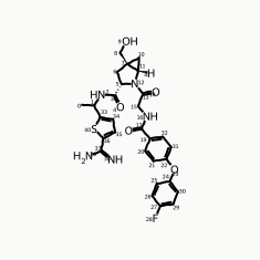 CC(NC(=O)[C@@H]1C[C@]2(CO)C[C@@H]2N1C(=O)CNC(=O)c1ccc(Oc2ccc(F)cc2)cc1)c1ccc(C(=N)N)s1